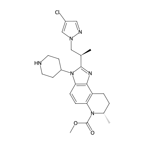 COC(=O)N1c2ccc3c(nc([C@H](C)Cn4cc(Cl)cn4)n3C3CCNCC3)c2CC[C@@H]1C